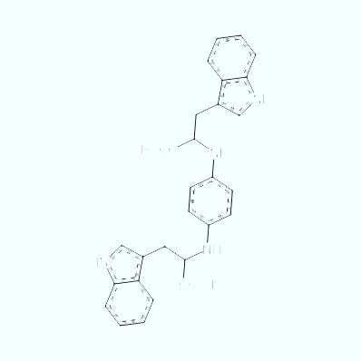 O=C(O)C(Cc1c[nH]c2ccccc12)Nc1ccc(NC(Cc2c[nH]c3ccccc23)C(=O)O)cc1